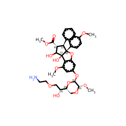 COC(=O)[C@H]1C(O)[C@@]2(O)c3c(OC)cc(O[C@@H]4O[C@@H]([C@H](O)COCCN)CO[C@H]4OC)cc3O[C@@]2(c2ccc(OC)cc2)[C@@H]1c1ccccc1